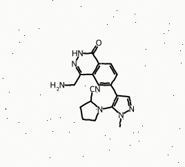 Cn1ncc(-c2ccc3c(=O)[nH]nc(CN)c3c2)c1N1CCCC1C#N